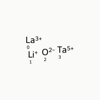 [La+3].[Li+].[O-2].[Ta+5]